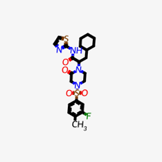 Cc1ccc(S(=O)(=O)N2CCN(C(CC3CCCCC3)C(=O)Nc3nccs3)C(=O)C2)cc1F